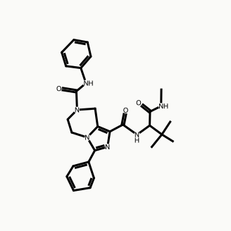 CNC(=O)C(NC(=O)c1nc(-c2ccccc2)n2c1CN(C(=O)Nc1ccccc1)CC2)C(C)(C)C